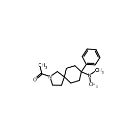 CC(=O)N1CCC2(CCC(c3ccccc3)(N(C)C)CC2)C1